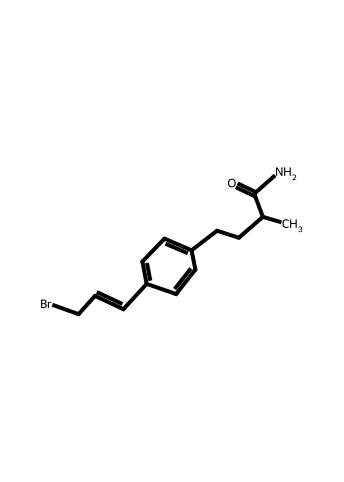 CC(CCc1ccc(C=CCBr)cc1)C(N)=O